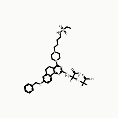 CCS(=O)(=O)NCCCCN1CCN(c2nc(N)nc3c2CCc2cc(OCc4ccccc4)ccc2-3)CC1.O=C(O)C(F)(F)F.O=C(O)C(F)(F)F